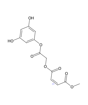 COC(=O)/C=C\C(=O)OCC(=O)Oc1cc(O)cc(O)c1